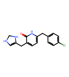 O=c1[nH]c(Cc2ccc(Cl)cc2)ccc1CC1=CNCN1